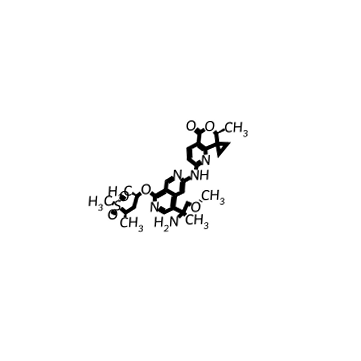 COCC(C)(N)c1cnc(O[C@H](C)C[C@@H](C)S(C)(=O)=O)c2cnc(Nc3ccc4c(n3)C3(CC3)[C@H](C)OC4=O)cc12